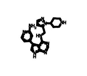 Nc1cc(-c2c[nH]c3ncnc(NCc4ccnn4C4CCNCC4)c23)ccn1